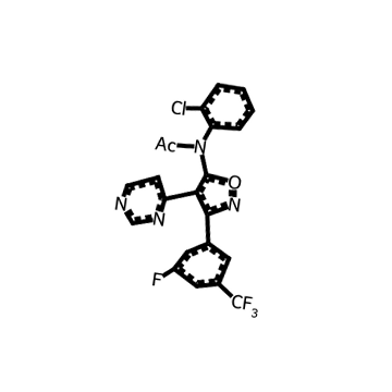 CC(=O)N(c1ccccc1Cl)c1onc(-c2cc(F)cc(C(F)(F)F)c2)c1-c1ccncn1